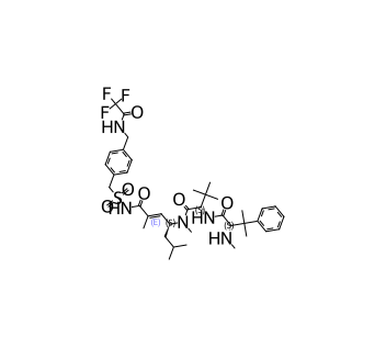 CN[C@H](C(=O)N[C@H](C(=O)N(C)[C@H](/C=C(\C)C(=O)NS(=O)(=O)Cc1ccc(CNC(=O)C(F)(F)F)cc1)CC(C)C)C(C)(C)C)C(C)(C)c1ccccc1